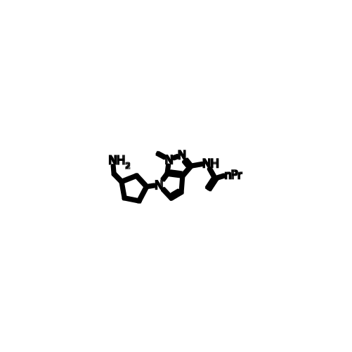 C=C(CCC)Nc1nn(C)c2c1ccn2C1CCC(CN)C1